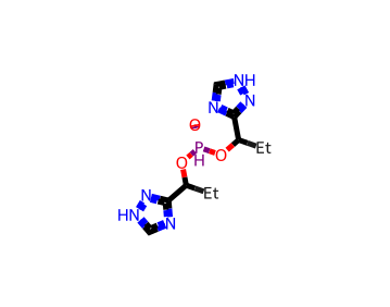 CCC(O[PH](=O)OC(CC)c1nc[nH]n1)c1nc[nH]n1